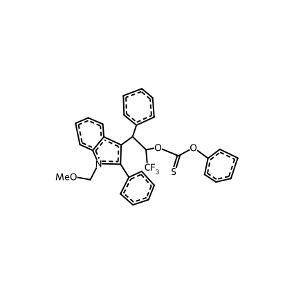 COCn1c(-c2ccccc2)c(C(c2ccccc2)C(OC(=S)Oc2ccccc2)C(F)(F)F)c2ccccc21